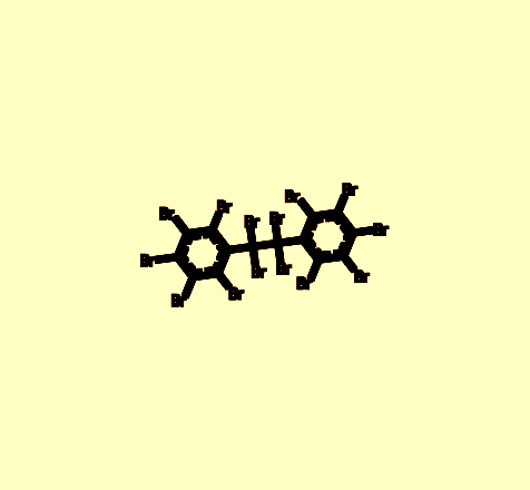 Brc1c(Br)c(Br)c(C(Br)(Br)C(Br)(Br)c2c(Br)c(Br)c(Br)c(Br)c2Br)c(Br)c1Br